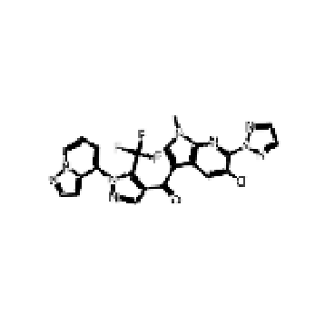 Cn1cc(C(=O)c2cnn(-c3cccn4nccc34)c2C(F)(F)F)c2cc(Cl)c(-n3nccn3)nc21